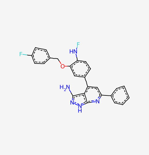 Nc1n[nH]c2nc(-c3ccccc3)cc(-c3ccc(NF)c(OCc4ccc(F)cc4)c3)c12